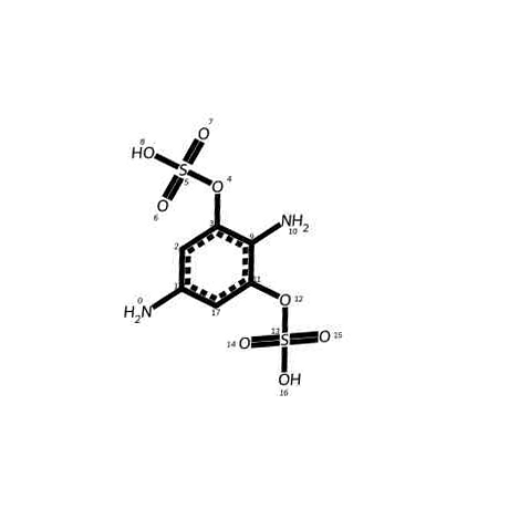 Nc1cc(OS(=O)(=O)O)c(N)c(OS(=O)(=O)O)c1